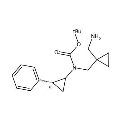 CC(C)(C)OC(=O)N(CC1(CN)CC1)C1C[C@@H]1c1ccccc1